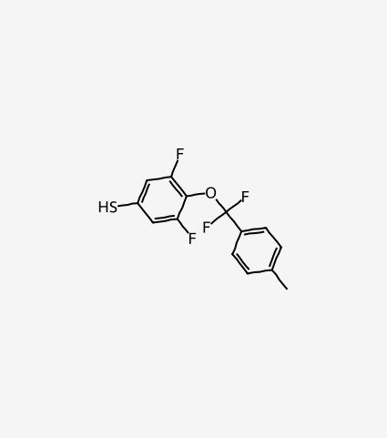 Cc1ccc(C(F)(F)Oc2c(F)cc(S)cc2F)cc1